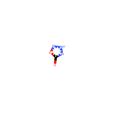 O=c1n[nH+][n-]o1